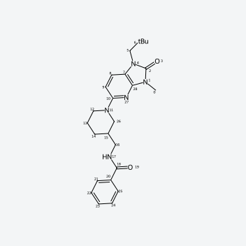 Cn1c(=O)n(CC(C)(C)C)c2ccc(N3CCCC(CNC(=O)c4ccccc4)C3)nc21